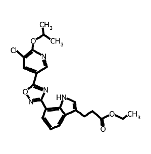 CCOC(=O)CCc1c[nH]c2c(-c3noc(-c4cnc(OC(C)C)c(Cl)c4)n3)cccc12